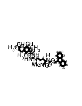 CNC(=O)C(CCCNC(=N)NS(=O)(=O)c1c(C)c(C)c2c(c1C)CCC(C)(C)O2)NC(=O)OCC1c2ccccc2-c2ccccc21